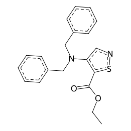 CCOC(=O)c1sncc1N(Cc1ccccc1)Cc1ccccc1